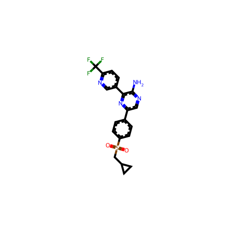 Nc1ncc(-c2ccc(S(=O)(=O)CC3CC3)cc2)nc1-c1ccc(C(F)(F)F)nc1